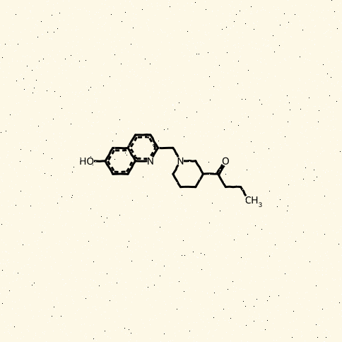 CCCC(=O)C1CCCN(Cc2ccc3cc(O)ccc3n2)C1